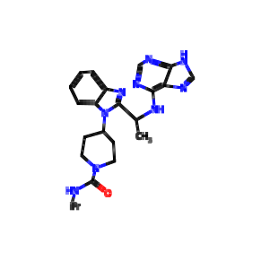 CC(C)NC(=O)N1CCC(n2c(C(C)Nc3ncnc4[nH]cnc34)nc3ccccc32)CC1